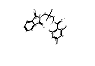 Cc1cc(C)c(C(=O)OCC(C)(C)CN2C(=O)c3ccccc3C2=O)c(C)c1